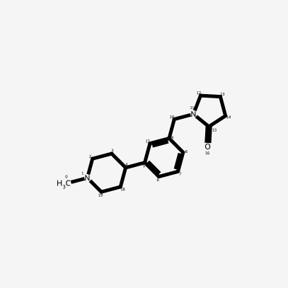 CN1CCC(c2cccc(CN3CCCC3=O)c2)CC1